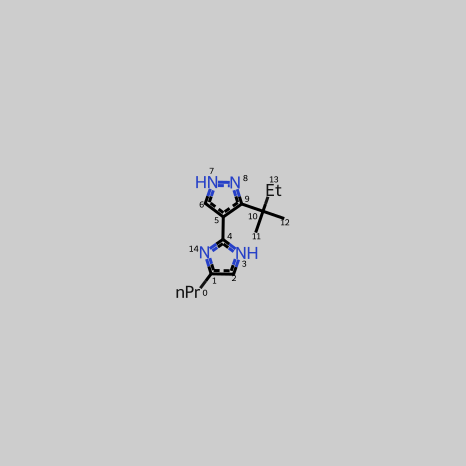 CCCc1c[nH]c(-c2c[nH]nc2C(C)(C)CC)n1